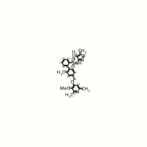 COc1c(OCc2ccc(-c3ccccc3S(=O)(=O)Nc3noc(C)c3C)c(C)c2)cc(C)nc1C